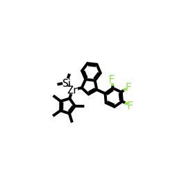 CC1=C(C)[CH]([Zr]([CH]2C=C(c3ccc(F)c(F)c3F)c3ccccc32)=[Si](C)C)C(C)=C1C